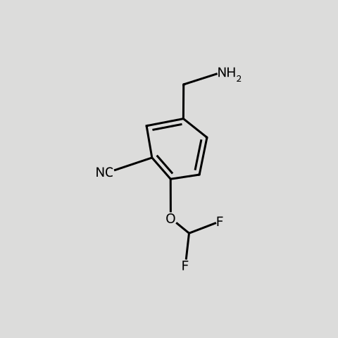 N#Cc1cc(CN)ccc1OC(F)F